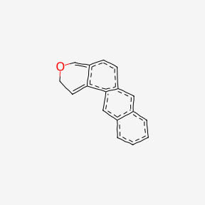 C1=c2ccc3cc4ccccc4cc3c2=CCO1